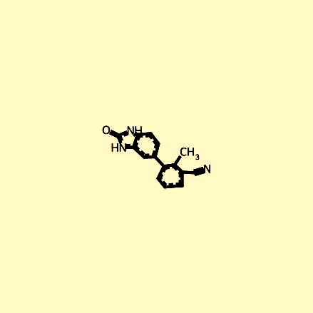 Cc1c(C#N)cccc1-c1ccc2[nH]c(=O)[nH]c2c1